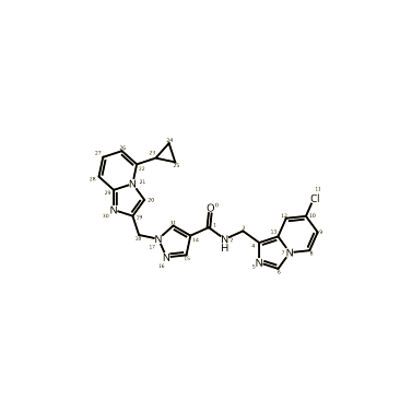 O=C(NCc1ncn2ccc(Cl)cc12)c1cnn(Cc2cn3c(C4CC4)cccc3n2)c1